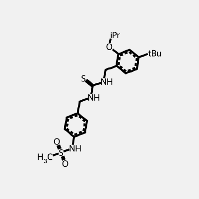 CC(C)Oc1cc(C(C)(C)C)ccc1CNC(=S)NCc1ccc(NS(C)(=O)=O)cc1